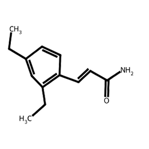 CCc1ccc(C=CC(N)=O)c(CC)c1